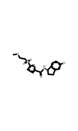 COCCS(=O)(=O)c1ccc(C(=O)N[C@@H]2CCc3cc(Cl)ccc32)s1